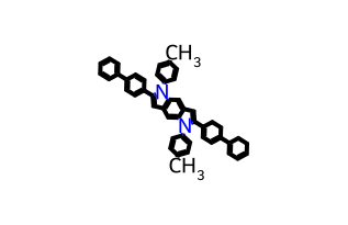 Cc1ccc(-n2c(C3=CC=C(C4=CC=CCC4)CC3)cc3cc4c(cc(-c5ccc(-c6ccccc6)cc5)n4-c4ccc(C)cc4)cc32)cc1